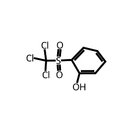 O=S(=O)(c1ccccc1O)C(Cl)(Cl)Cl